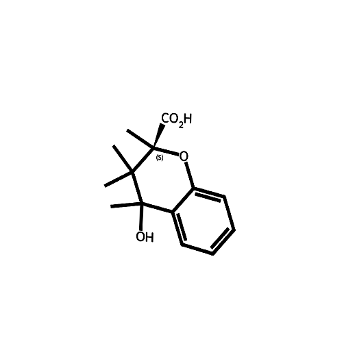 CC1(O)c2ccccc2O[C@](C)(C(=O)O)C1(C)C